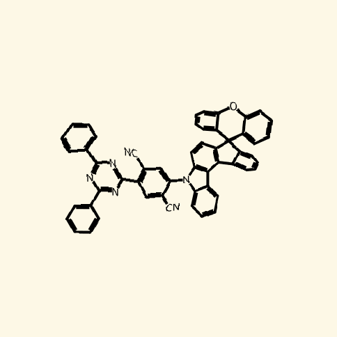 N#Cc1cc(-n2c3ccccc3c3c4c(ccc32)C2(c3ccccc3Oc3ccccc32)c2ccccc2-4)c(C#N)cc1-c1nc(-c2ccccc2)nc(-c2ccccc2)n1